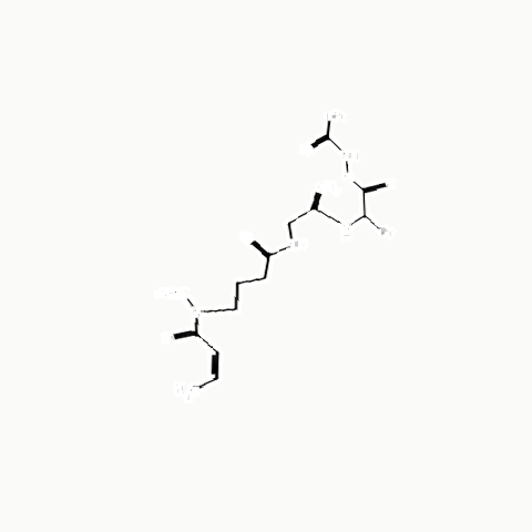 C=C(CNC(=O)CCCN(C=O)C(=O)/C=C\C)NC(C(=O)ONC(=O)CCC)C(C)C